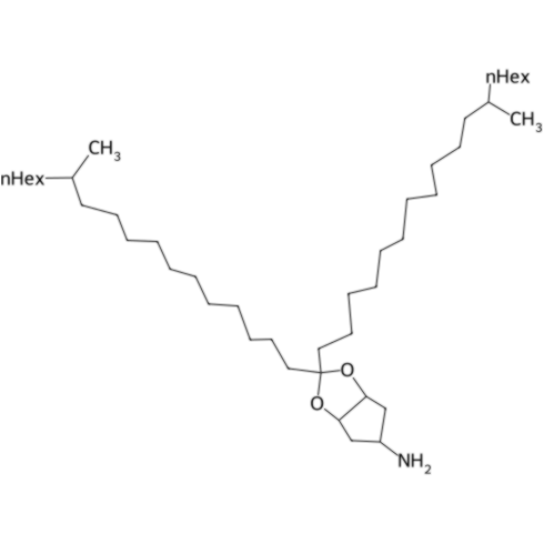 CCCCCCC(C)CCCCCCCCCCCC1(CCCCCCCCCCCC(C)CCCCCC)OC2CC(N)CC2O1